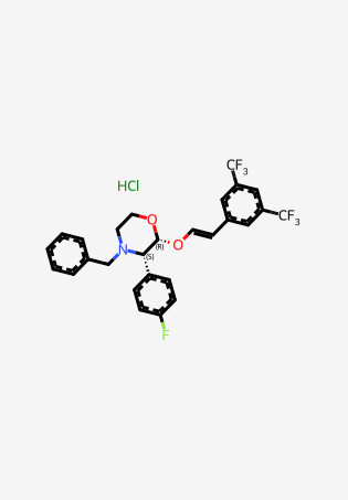 Cl.Fc1ccc([C@H]2[C@@H](OC=Cc3cc(C(F)(F)F)cc(C(F)(F)F)c3)OCCN2Cc2ccccc2)cc1